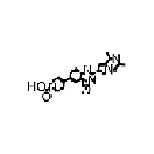 Cc1cn2cc(-c3nc4ccc(C5=CCN(C(=O)O)CC5)cc4[n+]([O-])n3)cc2c(C)n1